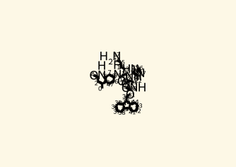 Cc1cc(=O)[nH]c2cc(NC(=O)[C@H](CCCCN)NC(=O)[C@H](Cc3c[nH]cn3)NC(=O)OCC3c4ccccc4-c4ccccc43)ccc12